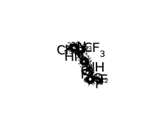 O=C(Cc1c(F)cccc1OC(F)F)N[C@H]1CC[C@@H](Nc2cc(C(F)(F)F)nc3ccc(Cl)cc23)CC1